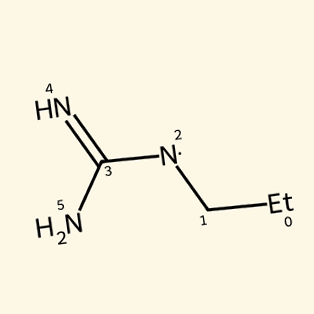 CCC[N]C(=N)N